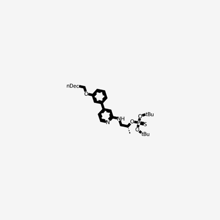 CCCCCCCCCCCOc1cccc(-c2ccnc(NC[C@@H](C)OP(=S)(OC(C)(C)C)OC(C)(C)C)c2)c1